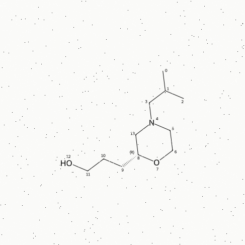 C[C](C)CN1CCO[C@H](CCCO)C1